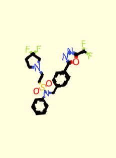 O=S(=O)(CCN1CCC(F)(F)C1)N(Cc1ccc(-c2nnc(C(F)F)o2)cc1)c1ccccc1